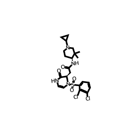 CC1(C)CN(C2CC2)CC[C@H]1NC(=O)C[C@@H]1C(=O)NC=CN1S(=O)(=O)c1cccc(Cl)c1Cl